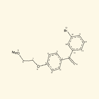 C=C(c1ccc(OCCOC)cc1)c1cccc(Br)c1